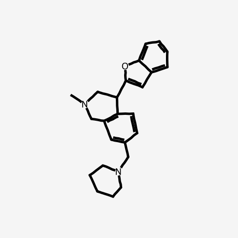 CN1Cc2cc(CN3CCCCC3)ccc2C(c2cc3ccccc3o2)C1